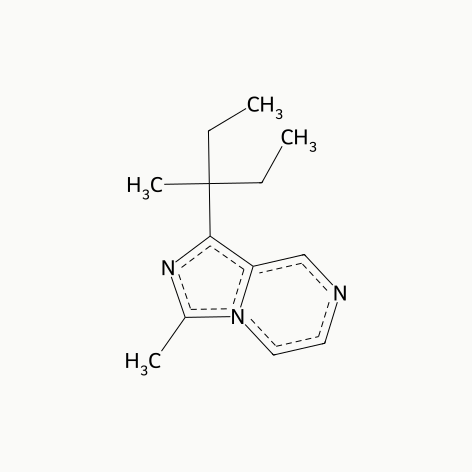 CCC(C)(CC)c1nc(C)n2ccncc12